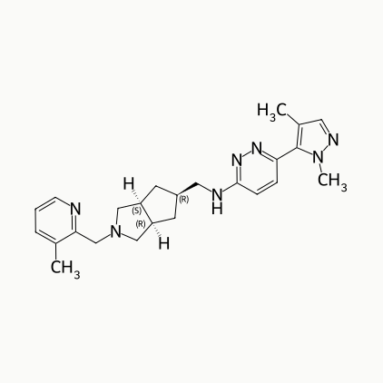 Cc1cccnc1CN1C[C@H]2C[C@@H](CNc3ccc(-c4c(C)cnn4C)nn3)C[C@H]2C1